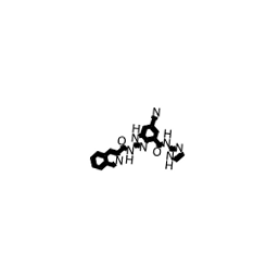 N#Cc1cc(C(=O)Nc2ncc[nH]2)c2nc(NC(=O)c3cc4ccccc4cn3)[nH]c2c1